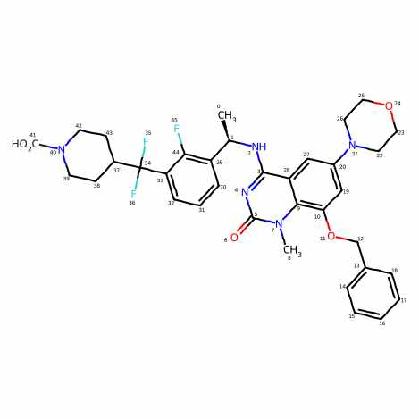 C[C@@H](Nc1nc(=O)n(C)c2c(OCc3ccccc3)cc(N3CCOCC3)cc12)c1cccc(C(F)(F)C2CCN(C(=O)O)CC2)c1F